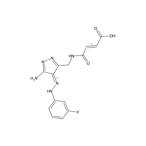 NC1=NN=C(CNC(=O)/C=C/C(=O)O)/C1=N/Nc1cccc(F)c1